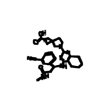 CNC(=O)CC(Nc1nc(N2CCC3(CN(C(=O)O)C3)C2)nc2c1CCCC2)c1cccc(C#N)c1